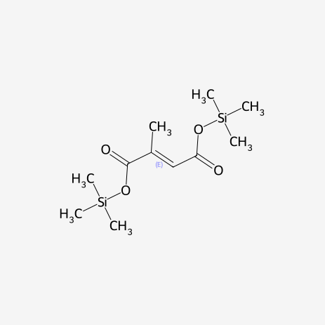 C/C(=C\C(=O)O[Si](C)(C)C)C(=O)O[Si](C)(C)C